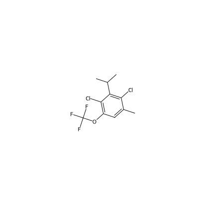 Cc1cc(OC(F)(F)F)c(Cl)c(C(C)C)c1Cl